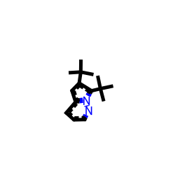 CC(C)(C)c1cc2cccnn2c1C(C)(C)C